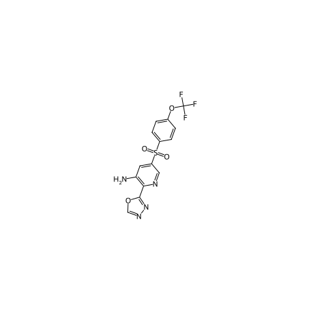 Nc1cc(S(=O)(=O)c2ccc(OC(F)(F)F)cc2)cnc1-c1nnco1